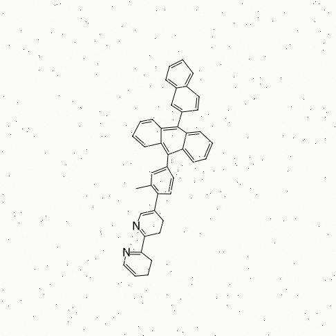 Cc1cc(-c2c3ccccc3c(-c3ccc4ccccc4c3)c3ccccc23)ccc1C1=CN=C(C2=NC=CCC2)CC1